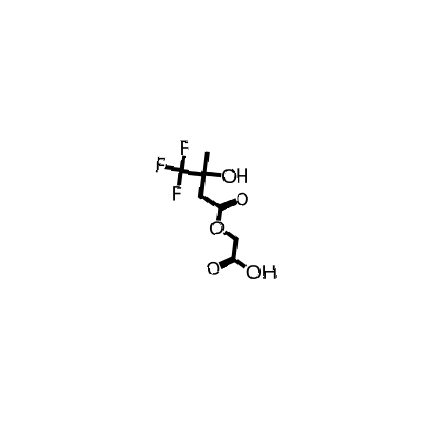 CC(O)(CC(=O)OCC(=O)O)C(F)(F)F